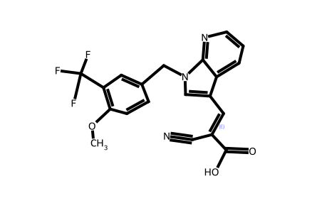 COc1ccc(Cn2cc(/C=C(\C#N)C(=O)O)c3cccnc32)cc1C(F)(F)F